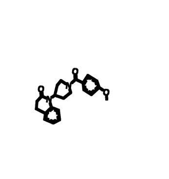 COc1ccc(C(=O)N2CCC(N3C(=O)CCc4ccccc43)CC2)cc1